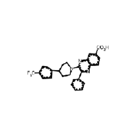 O=C(O)c1ccc2nc(-c3ccccc3)c(N3CCC(c4ccc(C(F)(F)F)cc4)CC3)nc2c1